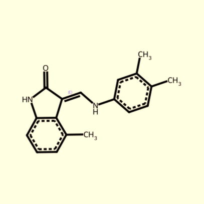 Cc1ccc(N/C=C2/C(=O)Nc3cccc(C)c32)cc1C